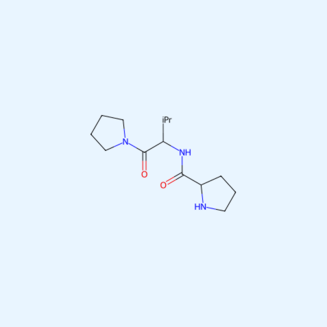 CC(C)C(NC(=O)C1CCCN1)C(=O)N1CCCC1